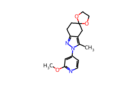 COc1cc(-n2nc3c(c2C)CC2(CC3)OCCO2)ccn1